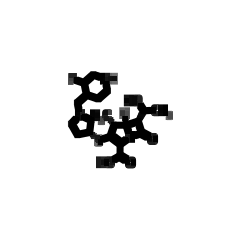 CC(O)[C@H]1C(=O)N2C(C(=O)O)=C(S[C@@H]3CCN(CC4CCNCC4F)C3)[C@H](C)[C@H]12